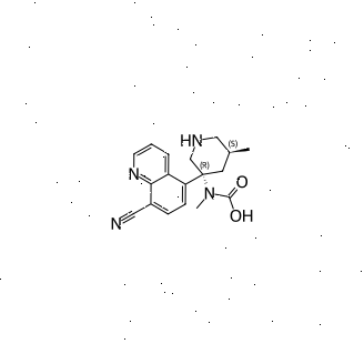 C[C@@H]1CNC[C@@](c2ccc(C#N)c3ncccc23)(N(C)C(=O)O)C1